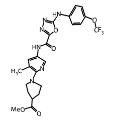 COC(=O)C1CCN(c2ncc(NC(=O)c3nnc(Nc4ccc(OC(F)(F)F)cc4)o3)cc2C)CC1